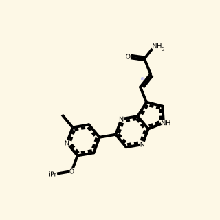 Cc1cc(-c2cnc3[nH]cc(/C=C/C(N)=O)c3n2)cc(OC(C)C)n1